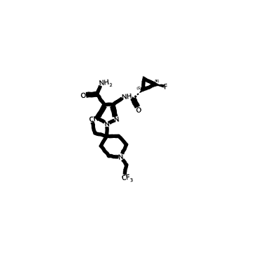 N#CCC1(n2cc(C(N)=O)c(NC(=O)[C@@H]3C[C@H]3F)n2)CCN(CC(F)(F)F)CC1